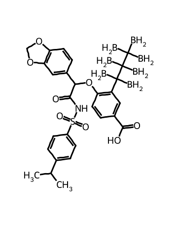 BC(B)(B)C(B)(B)C(B)(B)c1cc(C(=O)O)ccc1OC(C(=O)NS(=O)(=O)c1ccc(C(C)C)cc1)c1ccc2c(c1)OCO2